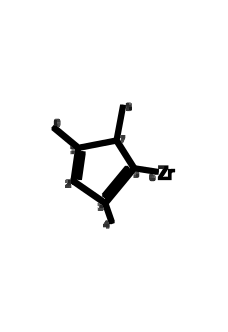 CC1=CC(C)=[C]([Zr])C1C